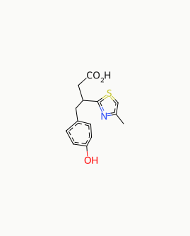 Cc1csc(C(CC(=O)O)Cc2ccc(O)cc2)n1